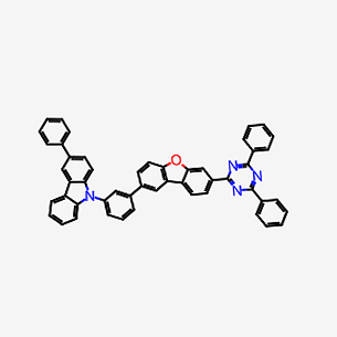 c1ccc(-c2ccc3c(c2)c2ccccc2n3-c2cccc(-c3ccc4oc5cc(-c6nc(-c7ccccc7)nc(-c7ccccc7)n6)ccc5c4c3)c2)cc1